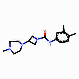 Cc1ccc(NC(=O)N2CC(N3CCN(C)CC3)C2)cc1C